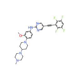 COc1cc(Nc2ncc(C#Cc3c(F)c(F)cc(F)c3F)cn2)ccc1N1CCC(N2CCN(C)CC2)CC1